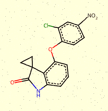 O=C1Nc2cccc(Oc3ccc([N+](=O)[O-])cc3Cl)c2C12CC2